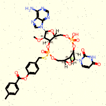 CO[C@@H]1[C@@H]2OP(=O)(SCc3ccc(OC(=O)c4ccc(C)cc4)cc3)OC[C@H]3O[C@@H](n4ccc(=O)[nH]c4=O)[C@H](OP(=O)(O)OC[C@H]2O[C@H]1n1cnc2c(N)ncnc21)[C@@H]3F